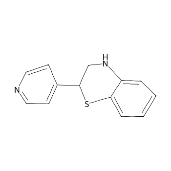 c1ccc2c(c1)NCC(c1ccncc1)S2